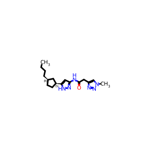 CCCC[C@@H]1CC[C@H](c2cc(NC(=O)Cc3cn(C)nn3)n[nH]2)C1